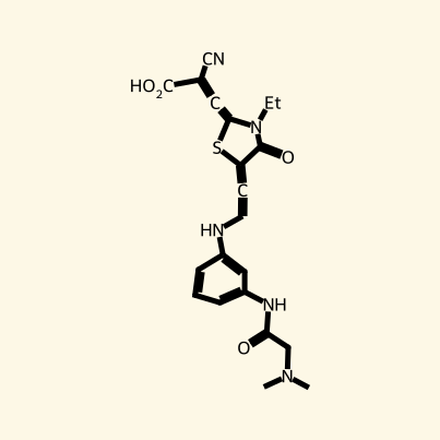 CCn1c(=C=C(C#N)C(=O)O)sc(=C=CNc2cccc(NC(=O)CN(C)C)c2)c1=O